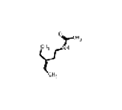 CC=C(CC)CCNC(C)=O